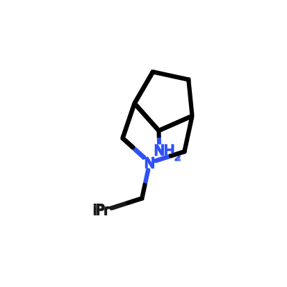 CC(C)CN1CC2CCC(C1)C2N